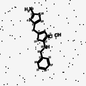 Cl.Cl.Nc1nc(Cc2cnc(NCc3ccccc3)s2)cs1